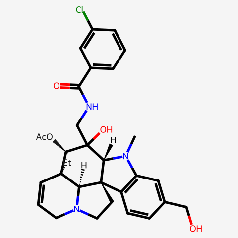 CC[C@]12C=CCN3CC[C@@]4(c5ccc(CO)cc5N(C)[C@H]4C(O)(CNC(=O)c4cccc(Cl)c4)[C@@H]1OC(C)=O)[C@@H]32